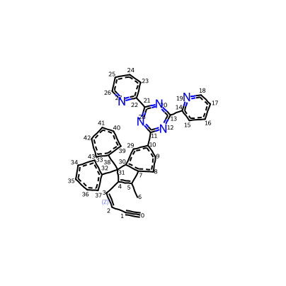 C#C/C=C\C1=C(C)c2ccc(-c3nc(-c4ccccn4)nc(-c4ccccn4)n3)cc2C1(c1ccccc1)c1ccccc1